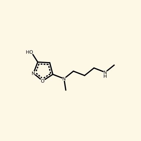 CNCCCN(C)c1cc(O)no1